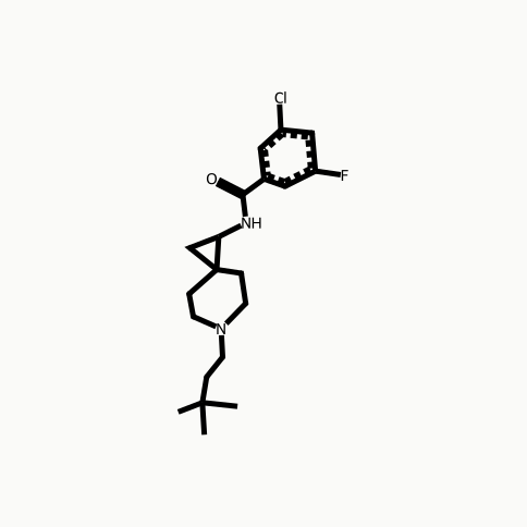 CC(C)(C)CCN1CCC2(CC1)CC2NC(=O)c1cc(F)cc(Cl)c1